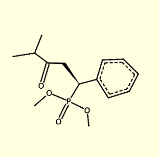 COP(=O)(OC)[C@@H](CC(=O)C(C)C)c1ccccc1